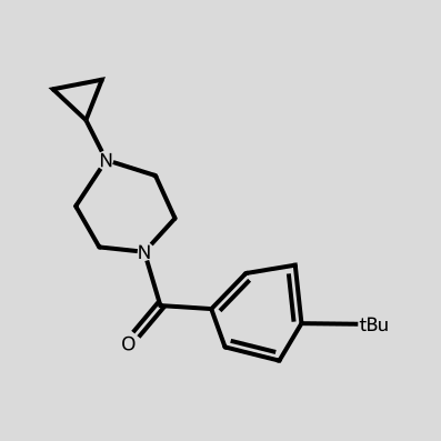 CC(C)(C)c1ccc(C(=O)N2CCN(C3CC3)CC2)cc1